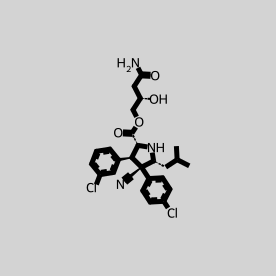 CC(C)C[C@H]1N[C@@H](C(=O)OC[C@@H](O)CC(N)=O)[C@H](c2cccc(Cl)c2)[C@@]1(C#N)c1ccc(Cl)cc1